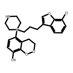 N#Cc1ccc([N+]2(CCCc3coc4c(Cl)cccc34)CCNCC2)c2c1OOCC2